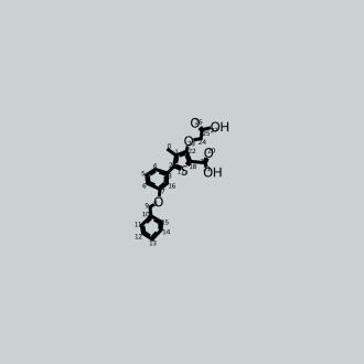 Cc1c(-c2cccc(OCc3ccccc3)c2)sc(C(=O)O)c1OCC(=O)O